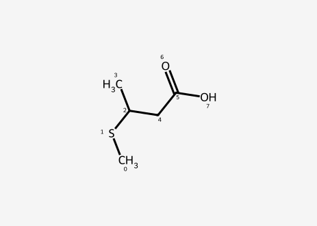 CSC(C)CC(=O)O